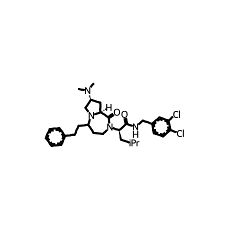 CC(C)C[C@H](C(=O)NCc1ccc(Cl)c(Cl)c1)N1CCC(CCc2ccccc2)N2C[C@H](N(C)C)C[C@H]2C1=O